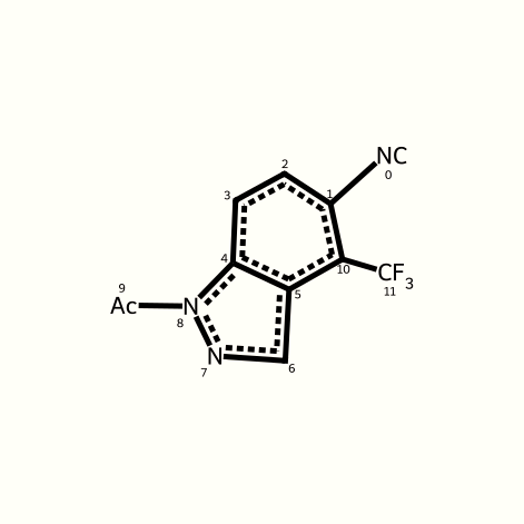 [C-]#[N+]c1ccc2c(cnn2C(C)=O)c1C(F)(F)F